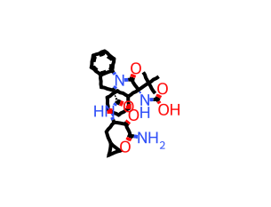 CC(C)(C)[C@](NC(=O)O)(C(=O)N1c2ccccc2C[C@H]1C(=O)NC(CC1CC1)C(=O)C(N)=O)C1CCCCC1